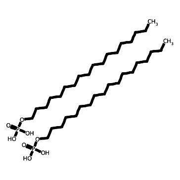 CCCCCCCCCCCCCCCCCCOP(=O)(O)O.CCCCCCCCCCCCCCCCCCOP(=O)(O)O